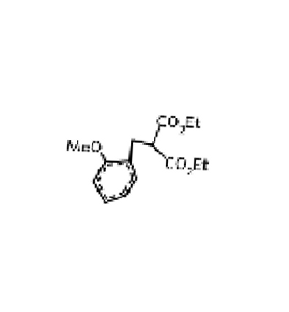 CCOC(=O)C(Cc1ccccc1OC)C(=O)OCC